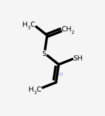 C=C(C)S/C(S)=C\C